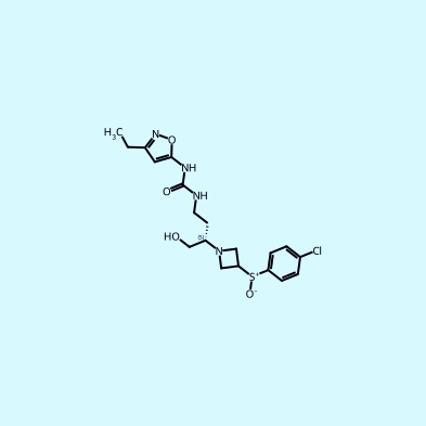 CCc1cc(NC(=O)NCC[C@@H](CO)N2CC([S+]([O-])c3ccc(Cl)cc3)C2)on1